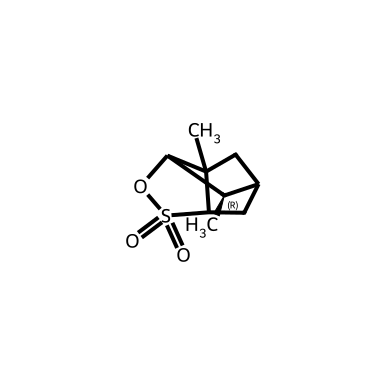 C[C@@H]1C2CC3C(C)(C2)C1OS3(=O)=O